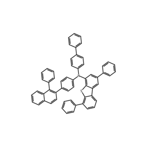 c1ccc(-c2ccc(N(c3ccc(-c4ccc5ccccc5c4-c4ccccc4)cc3)c3cc(-c4ccccc4)cc4c3sc3c(-c5ccccc5)cccc34)cc2)cc1